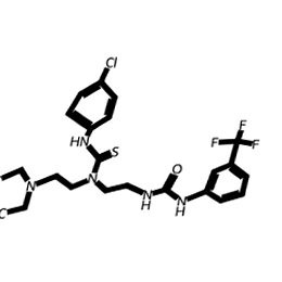 CCN(CC)CCN(CCNC(=O)Nc1cccc(C(F)(F)F)c1)C(=S)Nc1ccc(Cl)cc1